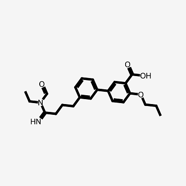 CCCOc1ccc(-c2cccc(CCCC(=N)N(C=O)CC)c2)cc1C(=O)O